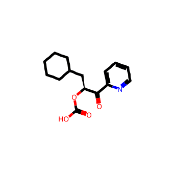 O=C(O)O[C@@H](CC1CCCCC1)C(=O)c1ccccn1